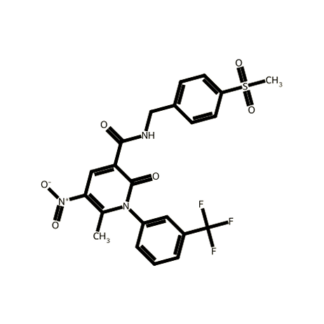 Cc1c([N+](=O)[O-])cc(C(=O)NCc2ccc(S(C)(=O)=O)cc2)c(=O)n1-c1cccc(C(F)(F)F)c1